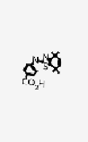 CN(c1ccc(C(=O)O)cc1)c1nc2c(s1)C(C)(C)C=CC2(C)C